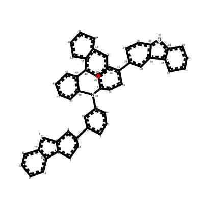 c1cc(-c2ccc3c(c2)sc2ccccc23)cc(N(c2ccc(-c3ccc4oc5ccccc5c4c3)cc2)c2ccccc2-c2cccc3ccccc23)c1